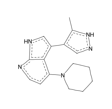 Cc1[nH]ncc1-c1c[nH]c2nccc(N3CCCCC3)c12